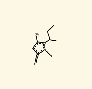 CCC(C)n1c(S)cc(=O)n1C